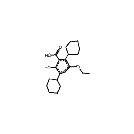 CCOc1cc(C2CCCCC2)c(O)c(C(=O)O)c1C1CCCCC1